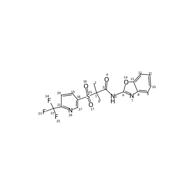 CC(C)(C(=O)Nc1nc2ccccc2o1)S(=O)(=O)c1ccc(C(F)(F)F)nc1